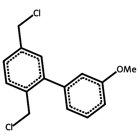 COc1cccc(-c2cc(CCl)ccc2CCl)c1